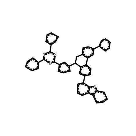 c1ccc(-c2ccc3c(c2)-c2ccc(-c4cccc5c4oc4ccccc45)cc2C(c2cccc(-c4nc(-c5ccccc5)nc(-c5ccccc5)n4)c2)C3)cc1